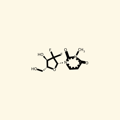 Cn1c(=O)ccn([C@@H]2O[C@H](CO)[C@@H](O)C2(F)F)c1=O